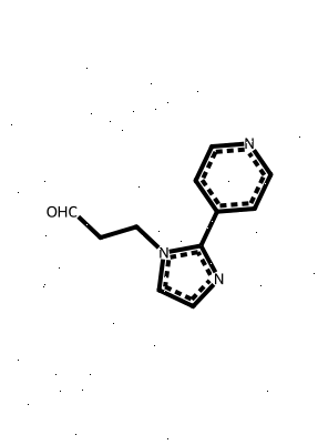 O=CCCn1ccnc1-c1ccncc1